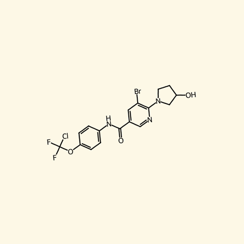 O=C(Nc1ccc(OC(F)(F)Cl)cc1)c1cnc(N2CCC(O)C2)c(Br)c1